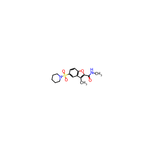 CNC(=O)c1oc2ccc(S(=O)(=O)N3CCCCC3)cc2c1C